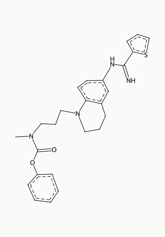 CN(CCCN1CCCc2cc(NC(=N)c3cccs3)ccc21)C(=O)Oc1ccccc1